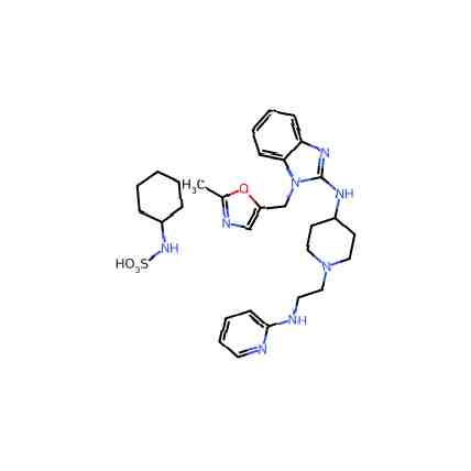 Cc1ncc(Cn2c(NC3CCN(CCNc4ccccn4)CC3)nc3ccccc32)o1.O=S(=O)(O)NC1CCCCC1